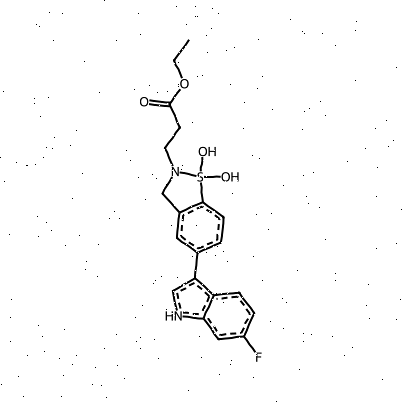 CCOC(=O)CCN1Cc2cc(-c3c[nH]c4cc(F)ccc34)ccc2S1(O)O